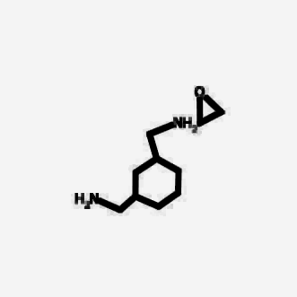 C1CO1.NCC1CCCC(CN)C1